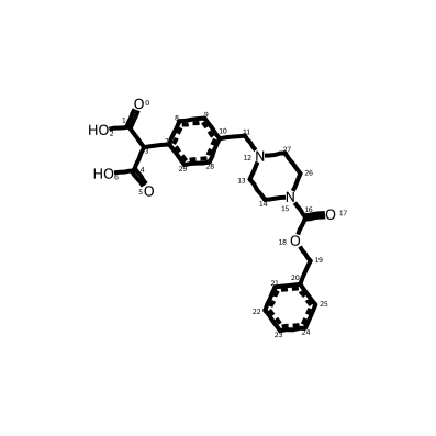 O=C(O)C(C(=O)O)c1ccc(CN2CCN(C(=O)OCc3ccccc3)CC2)cc1